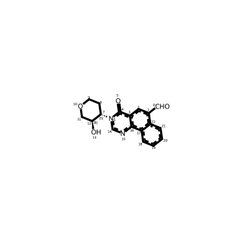 O=Cc1cc2c(=O)n([C@H]3CCOC[C@@H]3O)cnc2c2ccccc12